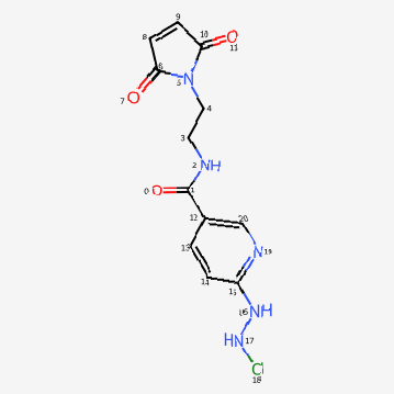 O=C(NCCN1C(=O)C=CC1=O)c1ccc(NNCl)nc1